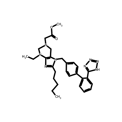 CCCCCc1nc2c(n1Cc1ccc(-c3ccccc3-c3nnn[nH]3)cc1)CN(CC(=O)OC)CN2CC